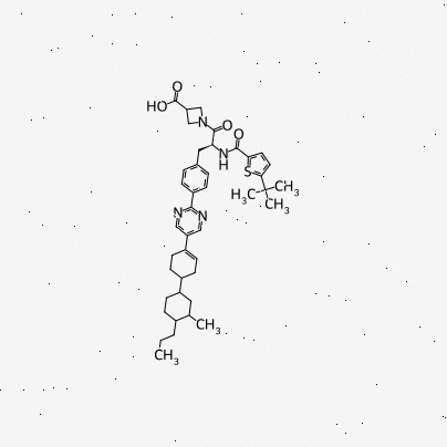 CCCC1CCC(C2CC=C(c3cnc(-c4ccc(C[C@H](NC(=O)c5ccc(C(C)(C)C)s5)C(=O)N5CC(C(=O)O)C5)cc4)nc3)CC2)CC1C